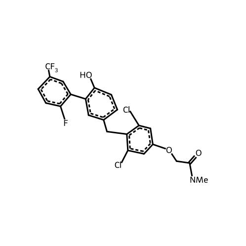 CNC(=O)COc1cc(Cl)c(Cc2ccc(O)c(-c3cc(C(F)(F)F)ccc3F)c2)c(Cl)c1